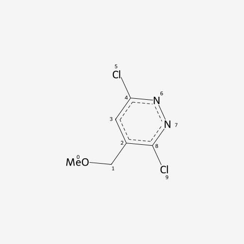 COCc1cc(Cl)nnc1Cl